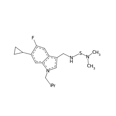 CC(C)Cn1cc(CNSN(C)C)c2cc(F)c(C3CC3)cc21